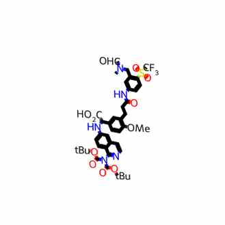 COc1ccc(C(Nc2ccc3c(N(C(=O)OC(C)(C)C)C(=O)OC(C)(C)C)nccc3c2)C(=O)O)cc1CCC(=O)Nc1ccc(S(=O)(=O)C(F)(F)F)c(CN(C)C=O)c1